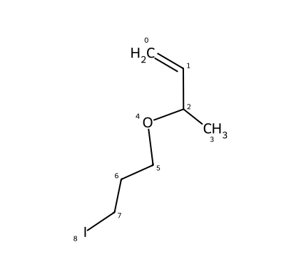 C=CC(C)OCCCI